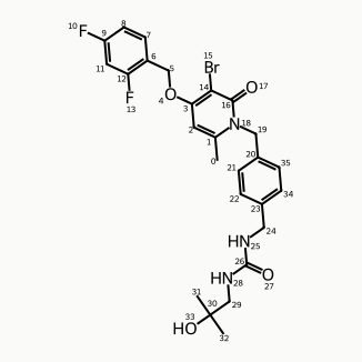 Cc1cc(OCc2ccc(F)cc2F)c(Br)c(=O)n1Cc1ccc(CNC(=O)NCC(C)(C)O)cc1